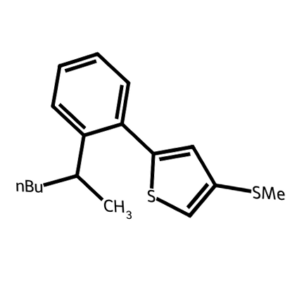 CCCCC(C)c1ccccc1-c1cc(SC)cs1